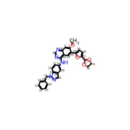 COc1cc2ncnc(Nc3ccc4c(cnn4Cc4ccccc4)c3)c2cc1-c1ccc(C2OCCO2)o1